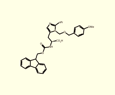 CCCc1ncc(C[C@H](NC(=O)OCC2c3ccccc3-c3ccccc32)C(=O)O)n1COCc1ccc(OC)cc1